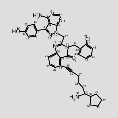 Nc1ncnc2c1c(-c1ccc(O)cc1)nn2Cc1nc2cccc(C#CCCCC(N)C3CCCC3)c2c(=O)n1Cc1ccccc1Cl